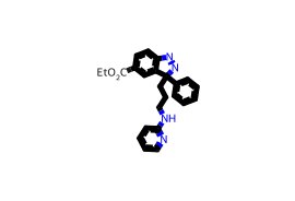 CCOC(=O)c1ccc2c(c1)C(CCCNc1ccccn1)(c1ccccc1)N=N2